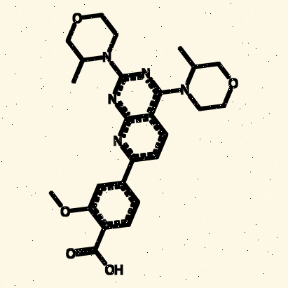 COc1cc(-c2ccc3c(N4CCOCC4C)nc(N4CCOCC4C)nc3n2)ccc1C(=O)O